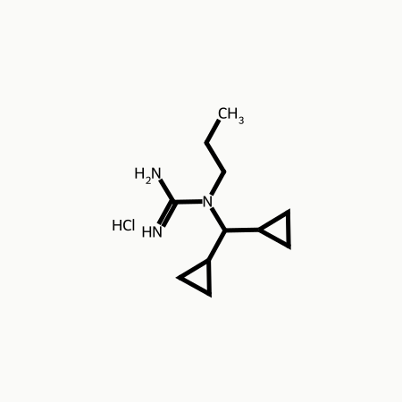 CCCN(C(=N)N)C(C1CC1)C1CC1.Cl